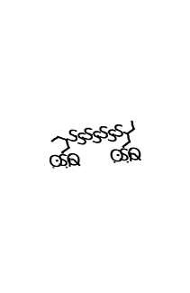 CCC(CC[Si](C)(OC)OC)SSSSSSSC(CC)CC[Si](C)(OC)OC